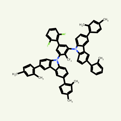 Cc1ccc(-c2ccc3c(c2)c2cc(-c4ccccc4C)ccc2n3-c2cc(-c3c(F)cccc3F)cc(-n3c4ccc(-c5ccc(C)cc5C)cc4c4cc(-c5ccc(C)cc5C)ccc43)c2C(F)(F)F)c(C)c1